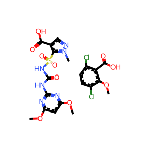 COc1c(Cl)ccc(Cl)c1C(=O)O.COc1cc(OC)nc(NC(=O)NS(=O)(=O)c2c(C(=O)O)cnn2C)n1